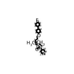 CC(C)(CCCOc1ccc(-c2ccc(F)cc2)cc1)CN1CCN(c2ccncc2)C1=O